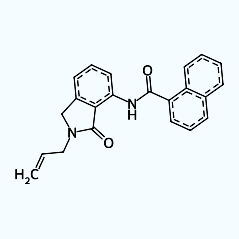 C=CCN1Cc2cccc(NC(=O)c3cccc4ccccc34)c2C1=O